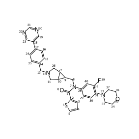 O=C(c1cccs1)N(CC1C2CN(Cc3ccc(-c4cncnc4)cc3)CC21)c1ccc(N2CCOCC2)c(F)c1